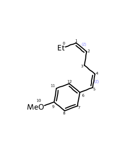 CC/C=C\C/C=C\c1ccc(OC)cc1